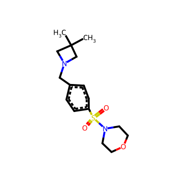 CC1(C)CN(Cc2ccc(S(=O)(=O)N3CCOCC3)cc2)C1